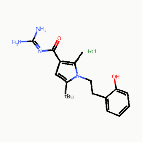 Cc1c(C(=O)N=C(N)N)cc(C(C)(C)C)n1CCc1ccccc1O.Cl